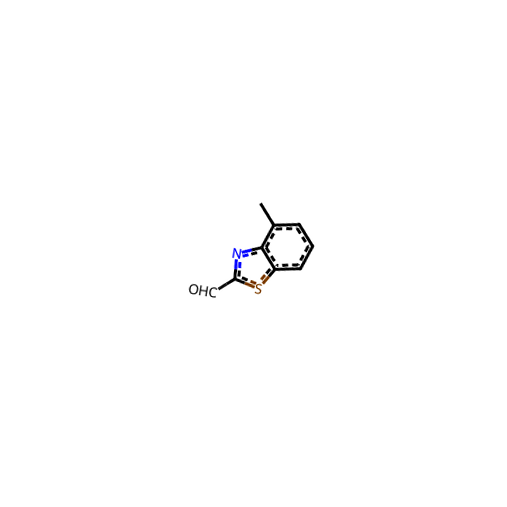 Cc1cccc2sc(C=O)nc12